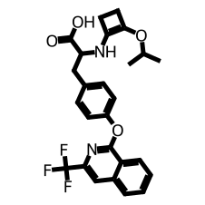 CC(C)OC1=C(NC(Cc2ccc(Oc3nc(C(F)(F)F)cc4ccccc34)cc2)C(=O)O)CC1